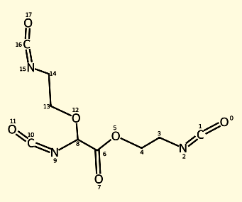 O=C=NCCOC(=O)C(N=C=O)OCCN=C=O